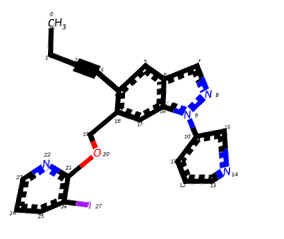 CCC#Cc1cc2cnn(-c3cccnc3)c2cc1COc1ncccc1I